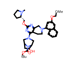 COCOc1cc(N2CCc3c(nc(OC[C@@H]4CCCN4C)nc3N3CC4CC(O)C(C3)N4C(=O)OC(C)(C)C)C2)c2ccccc2c1